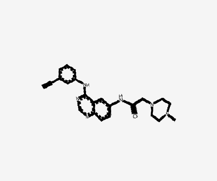 C#Cc1cccc(Nc2ncnc3ccc(NC(=O)CN4CCN(C)CC4)cc23)c1